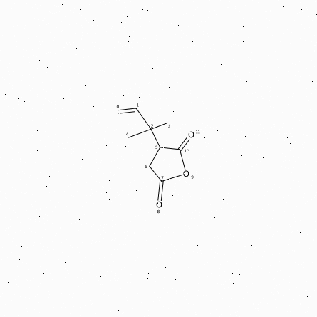 C=CC(C)(C)C1CC(=O)OC1=O